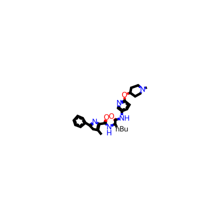 CCCCC(NC(=O)C1=C(C)CC(c2ccccc2)=N1)C(=O)Nc1ccc(OC2CCN(C)CC2)nc1